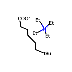 CC(C)(C)CCCCCC(=O)[O-].CC[N+](CC)(CC)CC